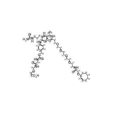 CC(C)[C@H](NC(=O)CCOCCOCCOCCOCCNC(=O)COC1/C=C\CCCCC1)C(=O)N[C@@H](CCCNC(N)=O)C(=O)Nc1ccc(COC(=O)NCC(=O)NCOCC(=O)O)cc1